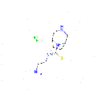 Cl.Cl.NCC/N=C(\S)N1C2CCC1CNC2